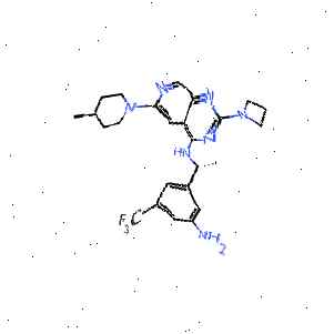 CC1CCN(c2cc3c(N[C@H](C)c4cc(N)cc(C(F)(F)F)c4)nc(N4CCC4)nc3cn2)CC1